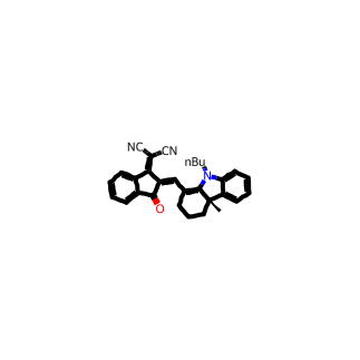 CCCCN1C2=C(/C=C3\C(=O)c4ccccc4C3=C(C#N)C#N)CCC[C@@]2(C)c2ccccc21